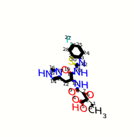 CC[C@@]1(C(=O)O)O[C@H]1C(=O)NC(Cc1c[nH]cn1)C(=O)Nc1nc2ccc(F)cc2s1